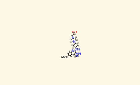 COc1ccc2nc(Nc3ccc(N4CCN(CCO)CC4)cc3)c3[nH]ncc3c2c1